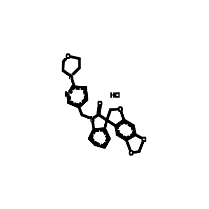 Cl.O=C1N(Cc2ccc(N3CCOCC3)nc2)c2ccccc2C12COc1cc3c(cc12)OCO3